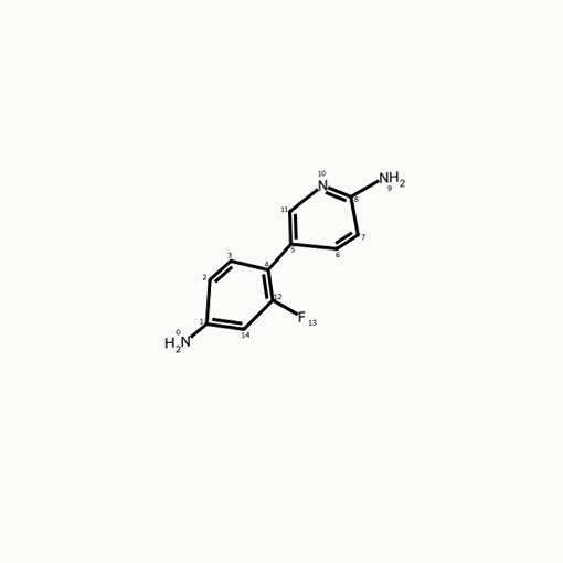 Nc1ccc(-c2ccc(N)nc2)c(F)c1